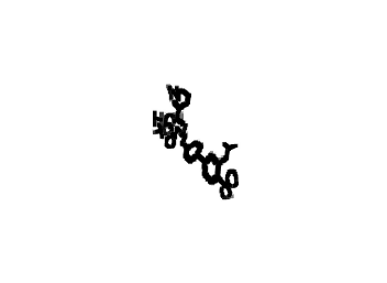 COC(=O)c1ccc(-c2ccc(CCN(C[C@@H](O)c3cccnc3)C(=O)OC(C)(C)C)cc2)cc1CC(C)C